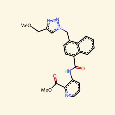 COCc1cn(Cc2ccc(C(=O)Nc3cccnc3C(=O)OC)c3ccccc23)nn1